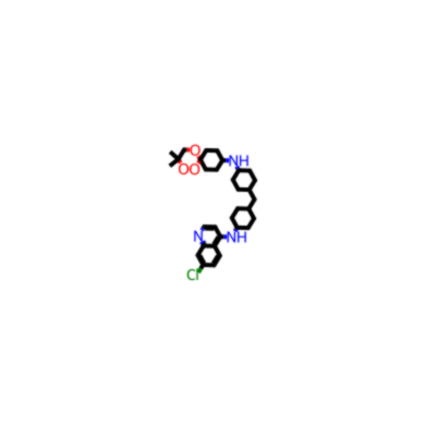 CC1(C)COC2(CCC(NC3CCC(CC4CCC(Nc5ccnc6cc(Cl)ccc56)CC4)CC3)CC2)OO1